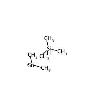 C[SiH](C)C.[CH3][Sn][CH3]